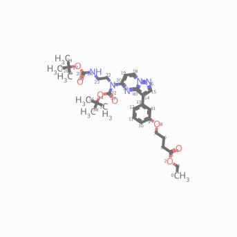 CCOC(=O)CCCOc1cccc(-c2cnn3ccc(N(CCNC(=O)OC(C)(C)C)C(=O)OC(C)(C)C)nc23)c1